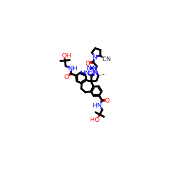 C[C@H](CC1(c2nnn[nH]2)c2ccc(C(=O)NCC(C)(C)O)cc2CCc2cc(C(=O)NCC(C)(C)O)ccc21)NCC(=O)N1CCCC1C#N